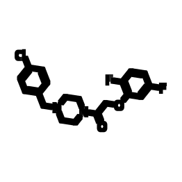 O=C(COc1cc(F)ccc1F)N1CCN(Cc2ccc(Cl)cc2)CC1